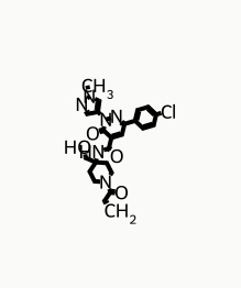 C=CC(=O)N1CCC(CO)(NC(=O)c2cc(-c3ccc(Cl)cc3)nn(-c3cnn(C)c3)c2=O)CC1